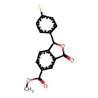 COC(=O)c1ccc2c(c1)C(=O)OC2c1ccc(F)cc1